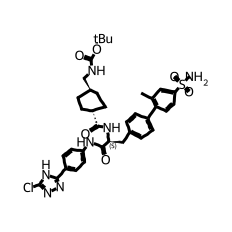 Cc1cc(S(N)(=O)=O)ccc1-c1ccc(C[C@H](NC(=O)[C@H]2CC[C@H](CNC(=O)OC(C)(C)C)CC2)C(=O)Nc2ccc(-c3nnc(Cl)[nH]3)cc2)cc1